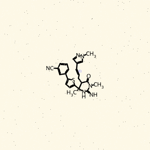 CN1C(=N)N[C@](C)(c2ccc(-c3cccc(C#N)c3)s2)C(C/C=C/c2cnn(C)c2)C1=O